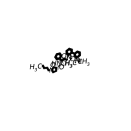 CCCCCN1CC[C@@H](C(=O)N[C@@](C)(c2ccccc2)[C@H](O)CN(C)c2ccccc2-c2cccc(N(C)C)c2)C1=O